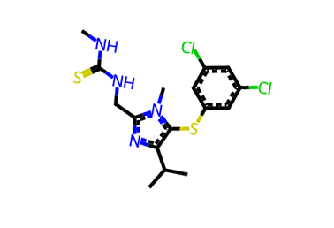 CNC(=S)NCc1nc(C(C)C)c(Sc2cc(Cl)cc(Cl)c2)n1C